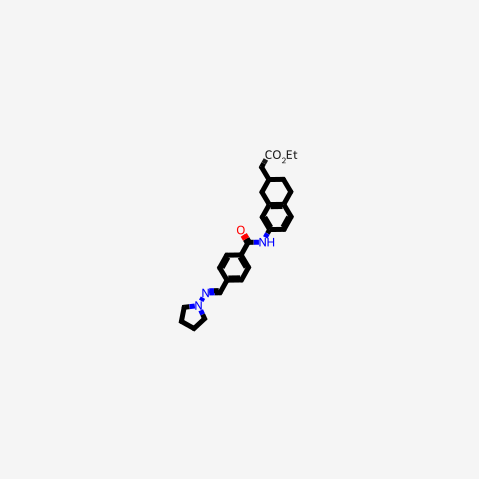 CCOC(=O)CC1CCc2ccc(NC(=O)c3ccc(C=NN4CCCC4)cc3)cc2C1